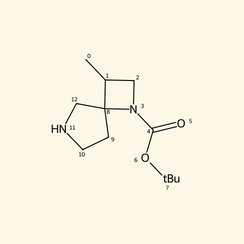 CC1CN(C(=O)OC(C)(C)C)C12CCNC2